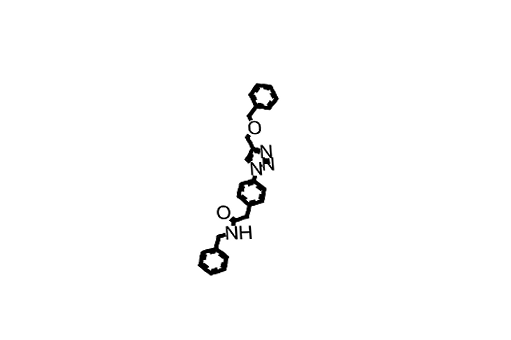 O=C(Cc1ccc(-n2cc(COCc3ccccc3)nn2)cc1)NCc1ccccc1